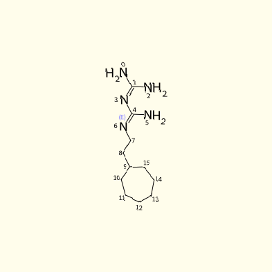 NC(N)=N/C(N)=N/CCC1CCCCCC1